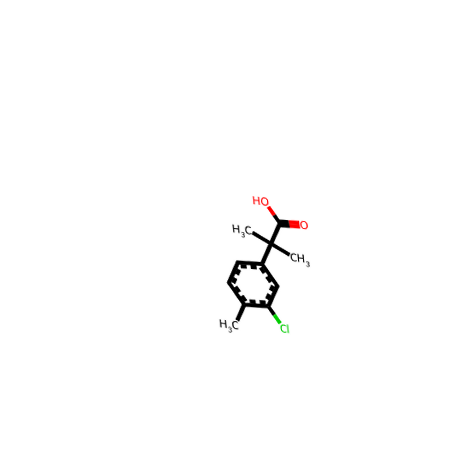 Cc1ccc(C(C)(C)C(=O)O)cc1Cl